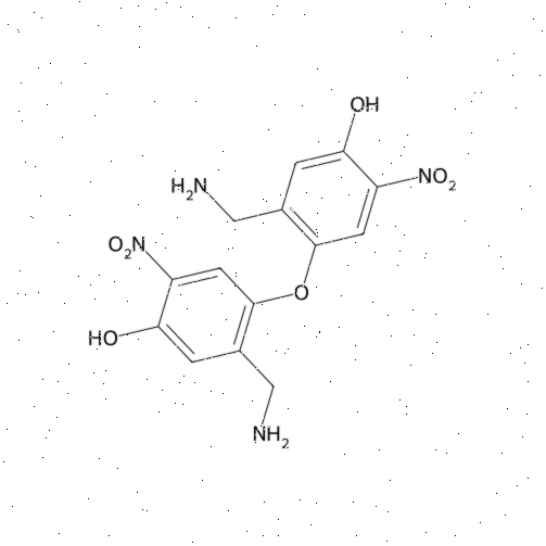 NCc1cc(O)c([N+](=O)[O-])cc1Oc1cc([N+](=O)[O-])c(O)cc1CN